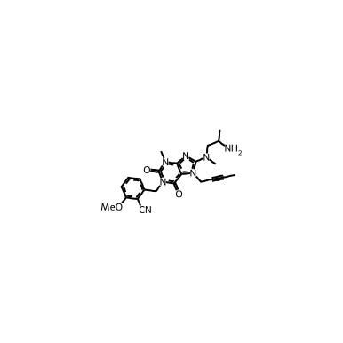 CC#CCn1c(N(C)CC(C)N)nc2c1c(=O)n(Cc1cccc(OC)c1C#N)c(=O)n2C